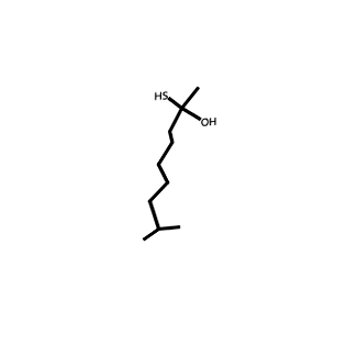 CC(C)CCCCCC(C)(O)S